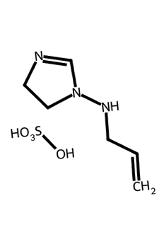 C=CCNN1C=NCC1.O=S(=O)(O)O